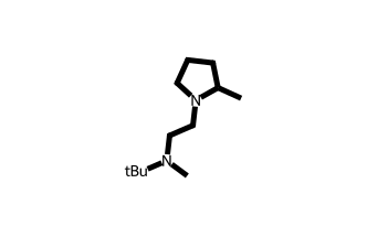 CC1CCCN1CCN(C)C(C)(C)C